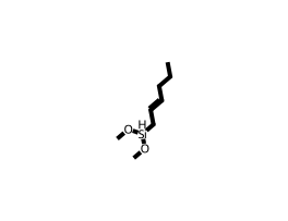 CCCC=CC[SiH](OC)OC